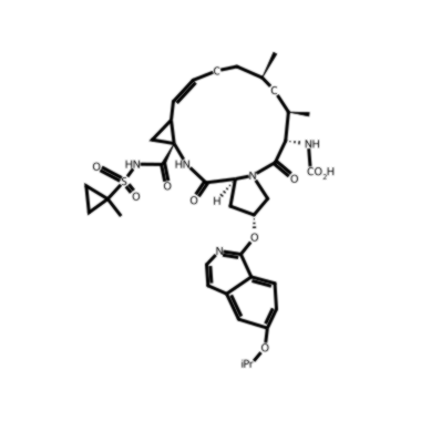 CC(C)Oc1ccc2c(O[C@@H]3C[C@H]4C(=O)N[C@]5(C(=O)NS(=O)(=O)C6(C)CC6)CC5/C=C\CC[C@@H](C)C[C@@H](C)[C@H](NC(=O)O)C(=O)N4C3)nccc2c1